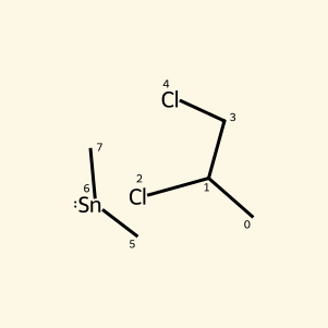 CC(Cl)CCl.[CH3][Sn][CH3]